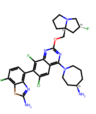 Nc1nc2c(-c3c(Cl)cc4c(N5CCC[C@@H](N)CC5)nc(OC[C@@]56CCCN5C[C@H](F)C6)nc4c3F)ccc(F)c2s1